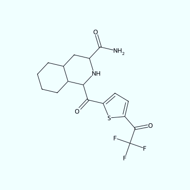 NC(=O)C1CC2CCCCC2C(C(=O)c2ccc(C(=O)C(F)(F)F)s2)N1